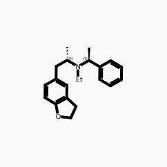 CCN([C@@H](C)Cc1ccc2c(c1)CCO2)[C@@H](C)c1ccccc1